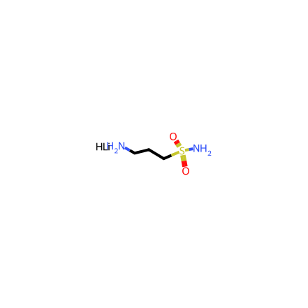 NCCCS(N)(=O)=O.[LiH]